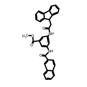 COC(=O)c1cc(NC(=O)CC2c3ccccc3-c3ccccc32)cc(NC(=O)c2ccc3ccccc3c2)c1